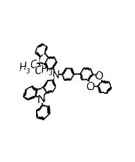 CC1(C)c2ccccc2-c2ccc(N(c3ccc(-c4ccc5c(c4)Oc4ccccc4O5)cc3)c3ccc4c(c3)c3ccccc3n4-c3ccccc3)cc21